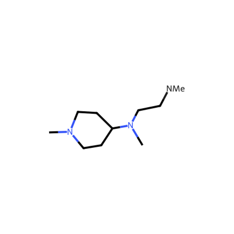 CNCCN(C)C1CCN(C)CC1